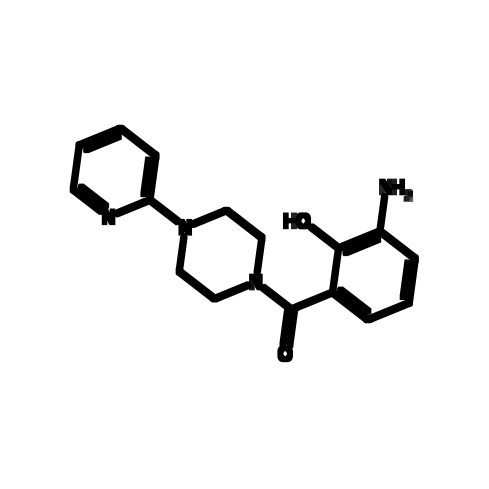 Nc1cccc(C(=O)N2CCN(c3ccccn3)CC2)c1O